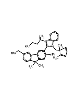 C=C(CCC(C)CC)[n+]1c(-c2cc3c(cc2CCC)C(C)(C)c2ccc(CC(C)(C)C)cc2-3)n(CC2(C)C=CC=C2C)c2ccccc21